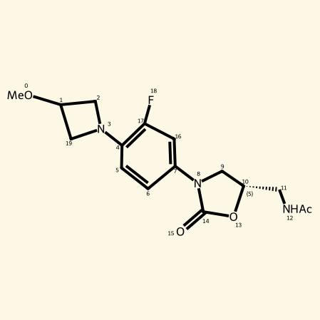 COC1CN(c2ccc(N3C[C@H](CNC(C)=O)OC3=O)cc2F)C1